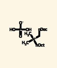 CCCCCCCCCCC[N+](C)(C)CCCCCCCC.O=P([O-])(O)O